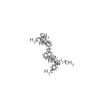 CCCCc1cc(NC(=O)Nc2ccc(OCc3ccnc(Nc4cnc(C)c(CC)n4)c3)c3ccccc23)n(-c2ccc(C)cc2)n1